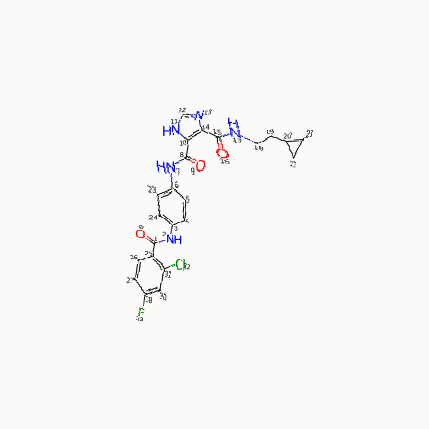 O=C(Nc1ccc(NC(=O)c2[nH]cnc2C(=O)NCCC2CC2)cc1)c1ccc(F)cc1Cl